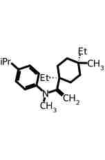 C=C(N(C)c1ccc(C(C)C)cc1)[C@]1(CC)CC[C@@](C)(CC)CC1